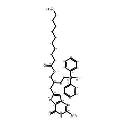 CCCCCCCCCCCCCCCCCCCC(=O)OCC(CC[Si](c1ccccc1)(c1ccccc1)C(C)(C)C)Cc1nc2nc(N)[nH]c(=O)c2[nH]1